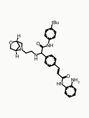 CC(C)(C)c1ccc(NC(=O)C(NCCN2C[C@@H]3C[C@H]2CO3)c2ccc(C=CC(=O)Nc3ccccc3N)cc2)cc1